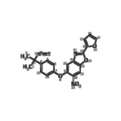 CCCCCC(C)(C)c1ccc(Oc2cc3nc(-c4ccco4)oc3cc2[N+](=O)[O-])cc1